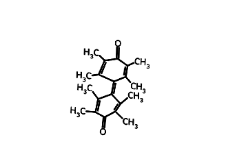 CC1=C(C)C(=C2C(C)=C(C)C(=O)C(C)=C2C)C(C)=C(C)C1=O